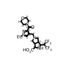 CCn1cc(CN2CC3C(C(=O)O)NC(C(C(F)(F)F)C(F)(F)F)C3C2)c(C(=O)N2CCOCC2)n1